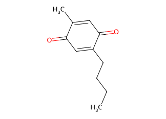 CCCCC1=CC(=O)C(C)=CC1=O